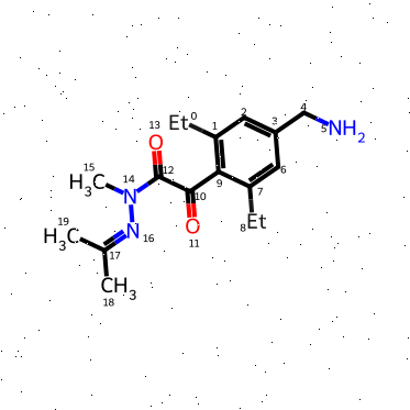 CCc1cc(CN)cc(CC)c1C(=O)C(=O)N(C)N=C(C)C